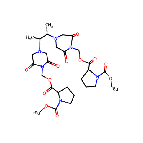 CC(C(C)N1CC(=O)N(COC(=O)C2CCCN2C(=O)OC(C)(C)C)C(=O)C1)N1CC(=O)N(COC(=O)C2CCCN2C(=O)OC(C)(C)C)C(=O)C1